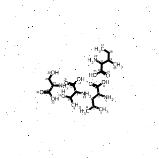 CC(C)CC(N)C(=O)O.CC(O)C(N)C(=O)O.CCC(C)C(N)C(=O)O.NC(CO)C(=O)O